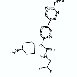 COc1ncc(-c2ccc(N(C(=O)NCC(F)F)[C@H]3CC[C@H](N)CC3)nc2)cn1